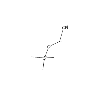 C[Si](C)(C)O[CH]C#N